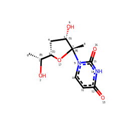 C[C@@H](O)[C@@H]1C[C@H](O)[C@](C)(n2ccc(=O)[nH]c2=O)O1